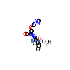 CCC1CC2CC(C1)C(NC(=O)c1cnc(N3CC4(CCOCC4)c4cc(OC5CCN(c6ncccn6)CC5)ccc43)nc1C(C)(F)F)(C(=O)O)C2